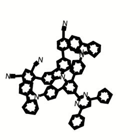 N#Cc1ccc(-c2ccc3c(c2)c2cc(-c4ccc(C#N)cc4C#N)ccc2n3-c2c(-c3ccc(-n4c5ccccc5c5ccccc54)cc3)cc(-c3nc(-c4ccccc4)cc(-c4ccccc4)n3)cc2-c2ccc(-n3c4ccccc4c4ccccc43)cc2)c(C#N)c1